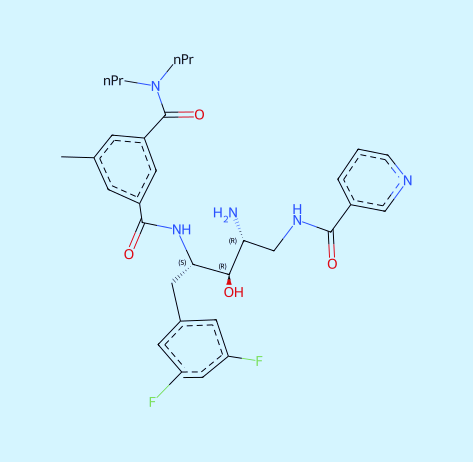 CCCN(CCC)C(=O)c1cc(C)cc(C(=O)N[C@@H](Cc2cc(F)cc(F)c2)[C@H](O)[C@H](N)CNC(=O)c2cccnc2)c1